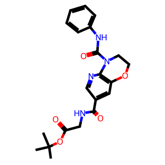 CC(C)(C)OC(=O)CNC(=O)c1cnc2c(c1)OCCN2C(=O)Nc1ccccc1